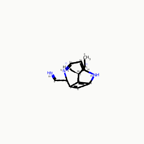 CC[C@H](C)C1=C2C=C1C(C=N)/N=C\C=C\N2